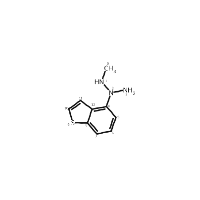 CNN(N)c1cccc2sccc12